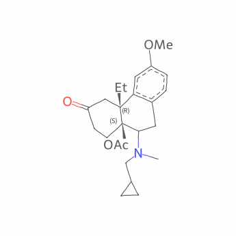 CC[C@]12CC(=O)CC[C@@]1(OC(C)=O)C(N(C)CC1CC1)Cc1ccc(OC)cc12